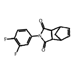 O=C1C2C3C=CC(C3)C2C(=O)N1c1ccc(F)c(F)c1